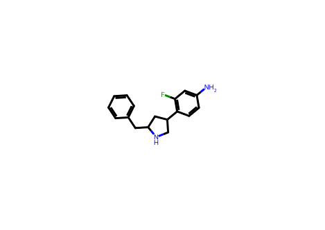 Nc1ccc(C2CNC(Cc3ccccc3)C2)c(F)c1